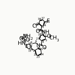 COc1cc(C(=O)N2CC[C@@]3(CC[C@H](NS(N)(=O)=O)C3)Cc3ccccc32)ccc1NC(=O)c1cc(F)ccc1Cl